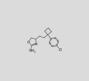 NC1=NC(CCC2(c3ccc(Cl)cc3)CCC2)CO1